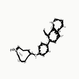 Cc1c(-c2ccc(OC3CCNCC3)cc2)ccc2cccnc12